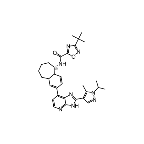 Cc1c(-c2nc3c(C4=CC5CCCC[C@H](NC(=O)c6nc(C(C)(C)C)no6)C5C=C4)ccnc3[nH]2)cnn1C(C)C